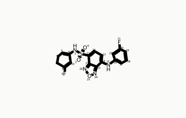 O=S(=O)(NC1=CCCC(F)=C1)c1ccc(Nc2cccc(F)c2)c2nonc12